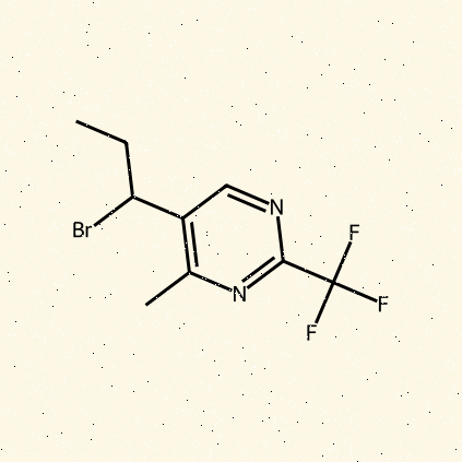 CCC(Br)c1cnc(C(F)(F)F)nc1C